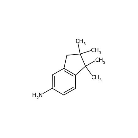 CC1(C)Cc2cc(N)ccc2C1(C)C